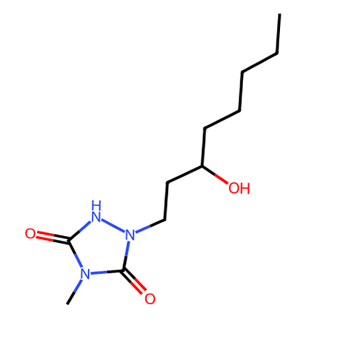 CCCCCC(O)CCn1[nH]c(=O)n(C)c1=O